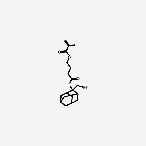 C=C(C)C(=O)OCCCC(=O)OC1(CC(C)C)C2CC3CC(C2)CC1C3